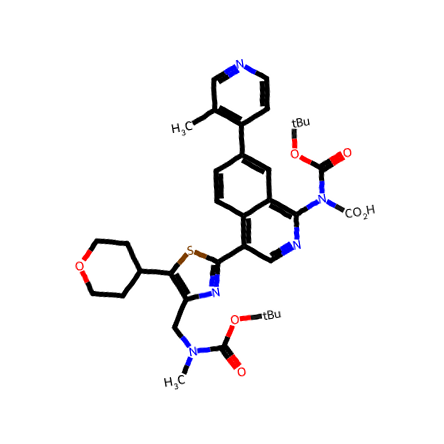 Cc1cnccc1-c1ccc2c(-c3nc(CN(C)C(=O)OC(C)(C)C)c(C4CCOCC4)s3)cnc(N(C(=O)O)C(=O)OC(C)(C)C)c2c1